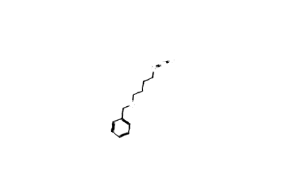 O=C=NCCCCOCc1ccccc1